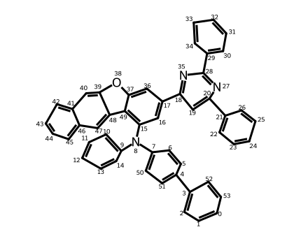 c1ccc(-c2ccc(N(c3ccccc3)c3cc(-c4cc(-c5ccccc5)nc(-c5ccccc5)n4)cc4oc5cc6ccccc6cc5c34)cc2)cc1